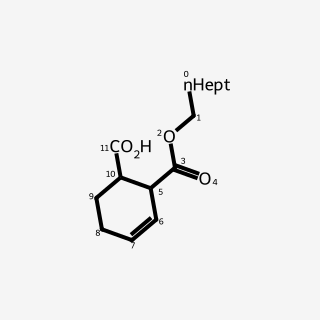 CCCCCCCCOC(=O)C1C=CCCC1C(=O)O